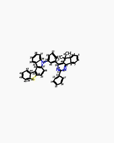 CC1(C)c2ccccc2-c2nc(-c3ccccc3)nc(-c3cccc(-n4c5ccccc5c5c6c(ccc54)sc4ccccc46)c3)c21